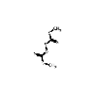 CSC(=S)SSC(=S)SC